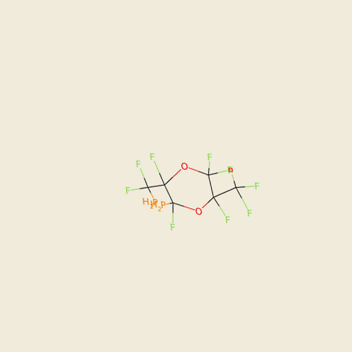 FC(F)(F)C1(F)OC(F)(P)C(F)(C(F)(F)P)OC1(F)F